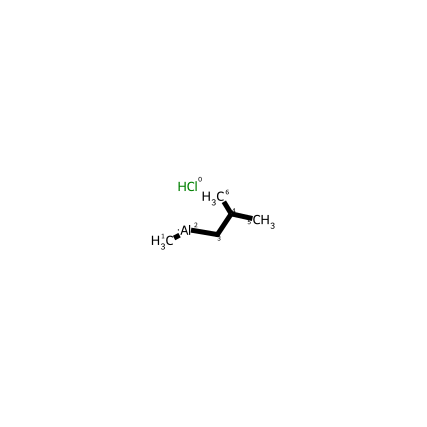 Cl.[CH3][Al][CH2]C(C)C